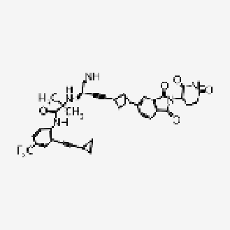 CC(C)(N/C=C(/C#CC1CN(c2ccc3c(c2)C(=O)N(C2CCC(=O)NC2=O)C3=O)C1)C=N)C(=O)Nc1ccc(C(F)(F)F)cc1C#CC1CC1